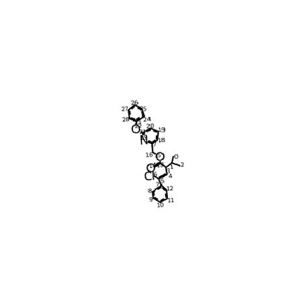 CC(C)C(C=C(Cl)c1ccccc1)C(=O)OCc1cccc(Oc2ccccc2)n1